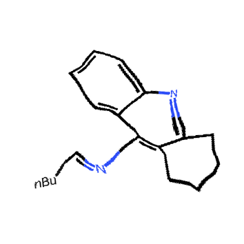 CCCCC=Nc1c2c(nc3ccccc13)CCCC2